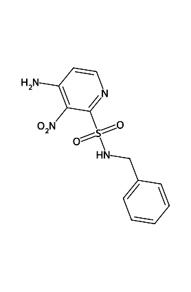 Nc1ccnc(S(=O)(=O)NCc2ccccc2)c1[N+](=O)[O-]